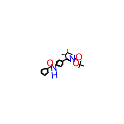 C[C@@H]1CN(C(=O)OC(C)(C)C)C=C(c2ccc(NC(=O)c3ccccc3)cc2)[C@H]1C